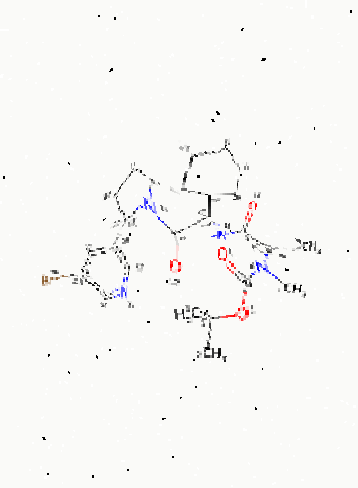 C=C(C)OC(=O)N(C)[C@@H](C)C(=O)N[C@H](C(=O)N1CCC[C@H]1c1cncc(Br)c1)C1CCCCC1